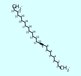 [CH2]CCCCCCCCC#CCCCCCCCCCCCCC[CH2]